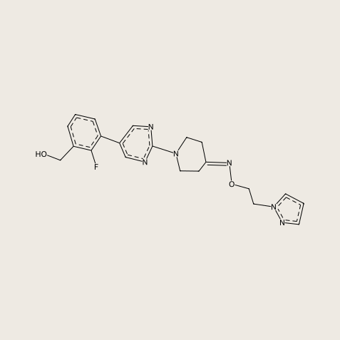 OCc1cccc(-c2cnc(N3CCC(=NOCCn4cccn4)CC3)nc2)c1F